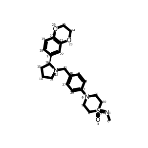 CN=S1(=O)CCN(c2ccc(CN3CCC[C@H]3c3ccc4c(c3)OCCO4)cc2)CC1